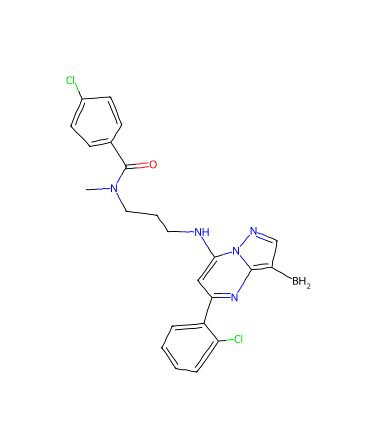 Bc1cnn2c(NCCCN(C)C(=O)c3ccc(Cl)cc3)cc(-c3ccccc3Cl)nc12